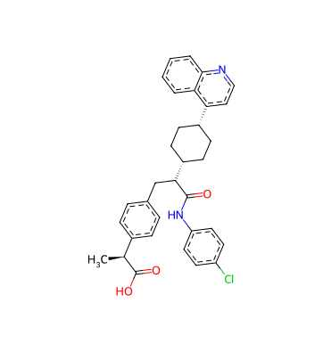 C[C@H](C(=O)O)c1ccc(CC(C(=O)Nc2ccc(Cl)cc2)[C@H]2CC[C@@H](c3ccnc4ccccc43)CC2)cc1